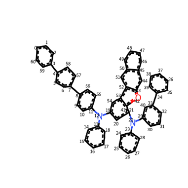 c1ccc(-c2ccc(-c3ccc(N(c4ccccc4)c4cc(N(c5ccccc5)c5cccc(-c6ccccc6)c5)c5oc6cc7ccccc7cc6c5c4)cc3)cc2)cc1